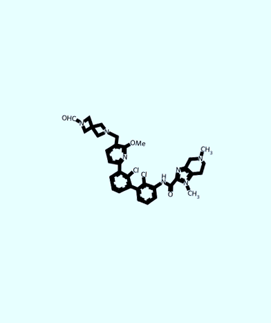 COc1nc(-c2cccc(-c3cccc(NC(=O)c4nc5c(n4C)CCN(C)C5)c3Cl)c2Cl)ccc1CN1CC2(CN(C=O)C2)C1